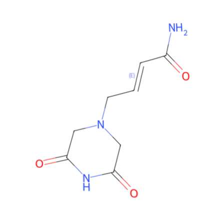 NC(=O)/C=C/CN1CC(=O)NC(=O)C1